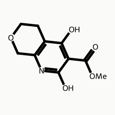 COC(=O)c1c(O)nc2c(c1O)CCOC2